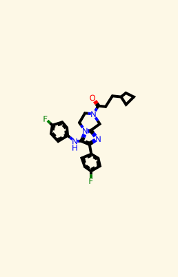 O=C(CCC1CCC1)N1CCn2c(nc(-c3ccc(F)cc3)c2Nc2ccc(F)cc2)C1